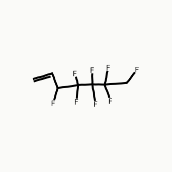 C=CC(F)C(F)(F)C(F)(F)C(F)(F)CF